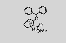 COC(=O)[C@@H]1[C@H]2CCC(C[C@H]1OC(c1ccccc1)c1ccccc1)N2C